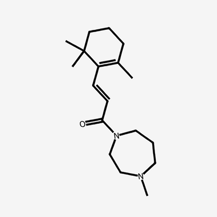 CC1=C(C=CC(=O)N2CCCN(C)CC2)C(C)(C)CCC1